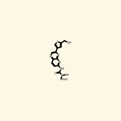 CCCCCN(S)C(=O)Nc1ccc2ncc(-c3csc(CO)c3)nc2n1